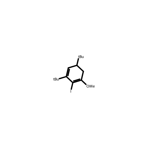 COC1=C(I)C(C(C)(C)C)=CC(C(C)(C)C)C1